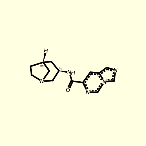 O=C(N[C@@H]1C[C@H]2CCN(C2)C1)c1cc2cncn2cn1